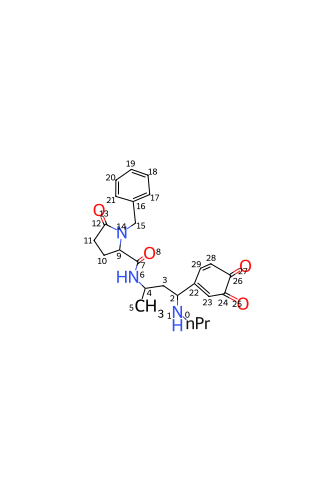 CCCNC(CC(C)NC(=O)C1CCC(=O)N1Cc1ccccc1)C1=CC(=O)C(=O)C=C1